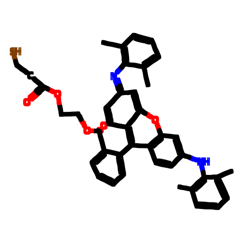 Cc1cccc(C)c1/N=c1/ccc2c(-c3ccccc3C(=O)OCCOC(=O)CCS)c3ccc(Nc4c(C)cccc4C)cc3oc-2c1